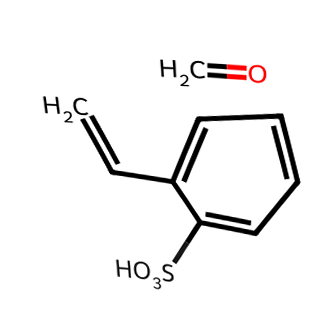 C=Cc1ccccc1S(=O)(=O)O.C=O